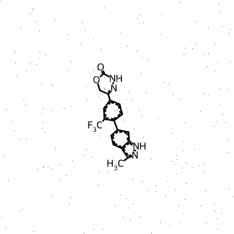 Cc1n[nH]c2cc(-c3ccc(C4=NNC(=O)OC4)cc3C(F)(F)F)ccc12